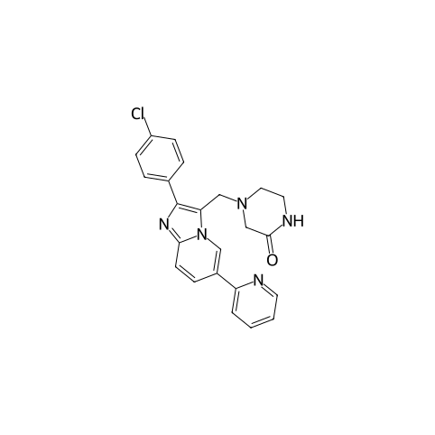 O=C1CN(Cc2c(-c3ccc(Cl)cc3)nc3ccc(-c4ccccn4)cn23)CCN1